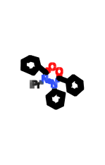 CC(C)N(C(=O)c1ccccc1)N(C(=O)c1ccccc1)c1ccccc1